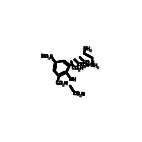 CC(=O)O.CC(=O)O.CC(=O)O.CC(=O)O.NCCN.O=C(O)c1cc(S(=O)(=O)O)ccc1O